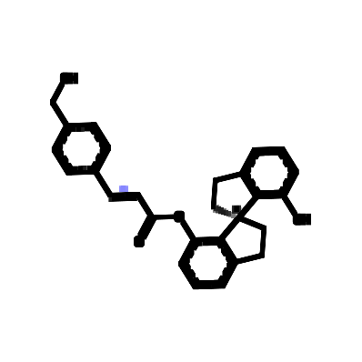 O=C(/C=C/c1ccc(CO)cc1)Oc1cccc2c1[C@]1(CCc3cccc(O)c31)CC2